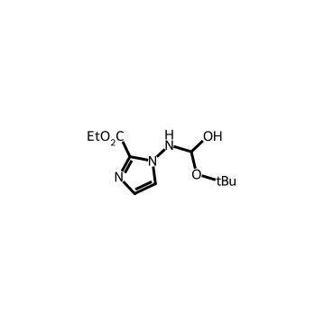 CCOC(=O)c1nccn1NC(O)OC(C)(C)C